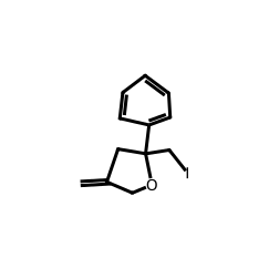 C=C1COC(CI)(c2ccccc2)C1